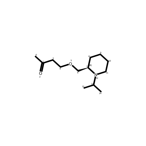 CC(=O)CCOC[C@H]1CCCCN1C(C)C